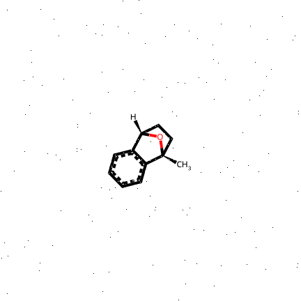 C[C@]12CC[C@H](O1)c1ccccc12